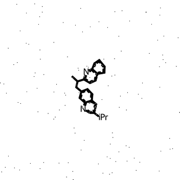 CC(C)c1cnc2cc(CC(C)c3ccc4ccccc4n3)ccc2c1